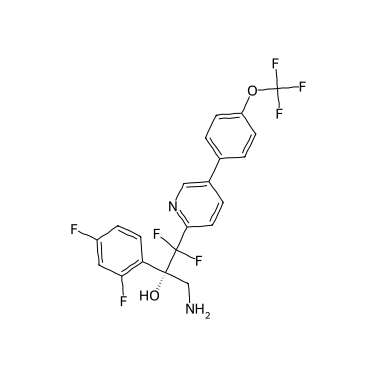 NC[C@@](O)(c1ccc(F)cc1F)C(F)(F)c1ccc(-c2ccc(OC(F)(F)F)cc2)cn1